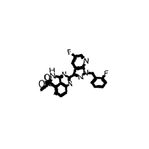 CC(=O)[C@@]12CC=Cc3nc(-c4nn(Cc5ccccc5F)c5ncc(F)cc45)nc(c31)NC2=O